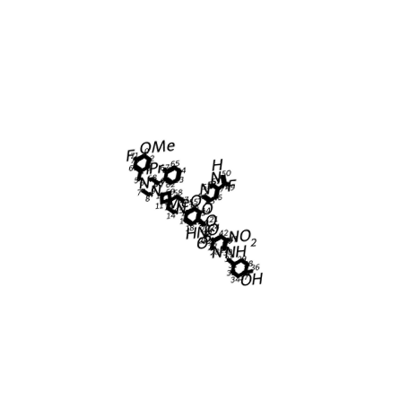 COc1ccc(CN2CCN(C3CC4(CCN(c5ccc(C(=O)NS(=O)(=O)c6cnc(NCC7CCC(C)(O)CC7)c([N+](=O)[O-])c6)c(Oc6cc7c(F)c[nH]c7nc6OC)c5)CC4)C3)[C@H](c3ccccc3C(C)C)C2)cc1F